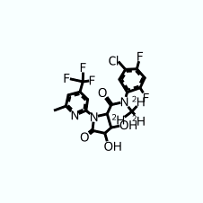 [2H]C([2H])([2H])N(C(=O)C1C(O)C(O)C(=O)N1c1cc(C(F)(F)F)cc(C)n1)c1cc(Cl)c(F)cc1F